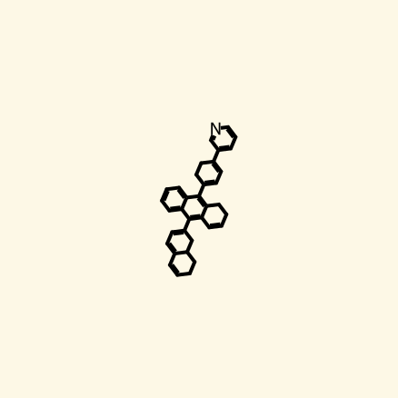 C1=Cc2c(c(C3=CC=C(c4cccnc4)CC3)c3ccccc3c2C2=CC=C3C=CCCC3C2)CC1